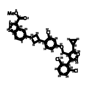 COC(=O)c1nsc2ccc(N3CC(c4ccc(OCc5c(-c6c(Cl)cccc6Cl)noc5C5CC5)cc4Cl)C3)cc12